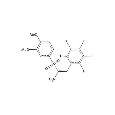 COc1ccc(S(=O)(=O)/C(=C\c2c(F)c(F)c(F)c(F)c2F)[N+](=O)[O-])cc1OC